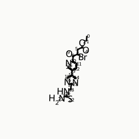 CCOC(=O)CC(Br)C(=O)c1ccc(-c2cnc(CNC(N)=S)nc2)cn1